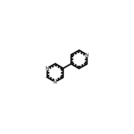 [c]1ncc(-c2ccncc2)cn1